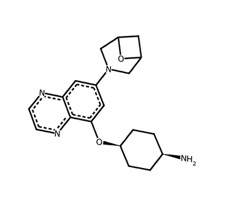 N[C@H]1CC[C@@H](Oc2cc(N3CC4CC(C3)O4)cc3nccnc23)CC1